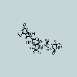 COc1cc(Cl)cc2[nH]c(C(=O)N[C@@H](CC(C)(C)C)C(=O)N[C@H](C#N)C[C@@H]3CC(C)(C)NC3=O)cc12